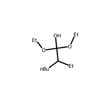 CCCCC(CC)C(O)(OCC)OCC